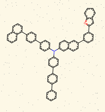 c1ccc(-c2ccc(-c3ccc(N(c4ccc(-c5ccc(-c6cccc7ccccc67)cc5)cc4)c4ccc5cc(-c6cccc(-c7cc8ccccc8o7)c6)ccc5c4)cc3)cc2)cc1